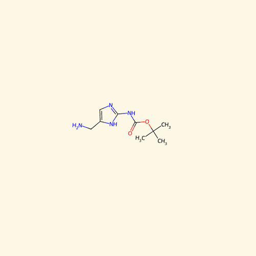 CC(C)(C)OC(=O)Nc1ncc(CN)[nH]1